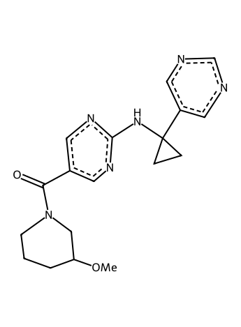 COC1CCCN(C(=O)c2cnc(NC3(c4cncnc4)CC3)nc2)C1